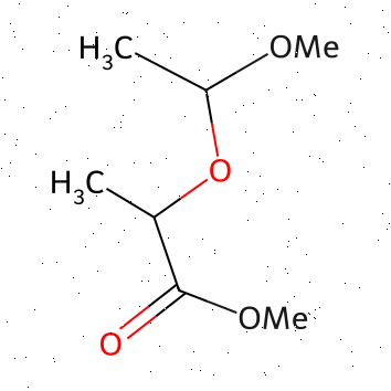 COC(=O)C(C)OC(C)OC